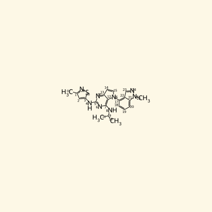 Cc1cc(Nc2nc(NC(C)C)c3c(ccn3-c3cccc4c3cnn4C)n2)sn1